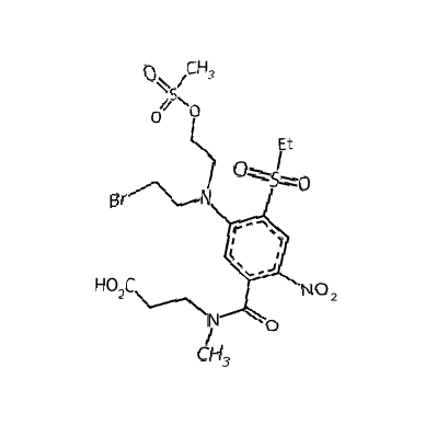 CCS(=O)(=O)c1cc([N+](=O)[O-])c(C(=O)N(C)CCC(=O)O)cc1N(CCBr)CCOS(C)(=O)=O